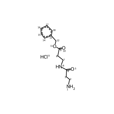 Cl.NCCC(=O)NCCC(=O)OCc1ccccc1